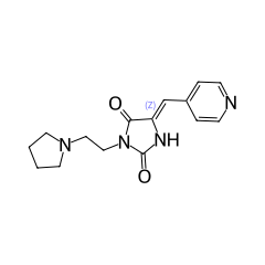 O=C1N/C(=C\c2ccncc2)C(=O)N1CCN1CCCC1